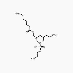 CCCCCCCCCCCCCCCC(=O)OC[C@H](COP(=O)(O)OCCN)OC(=O)CCC(=O)O